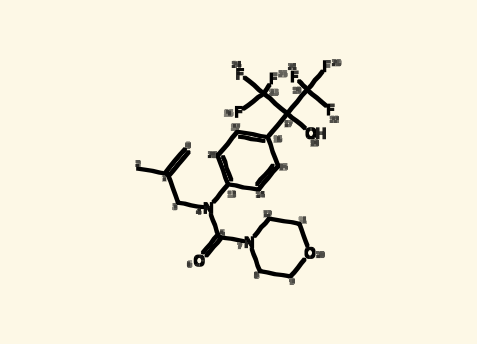 C=C(C)CN(C(=O)N1CCOCC1)c1ccc(C(O)(C(F)(F)F)C(F)(F)F)cc1